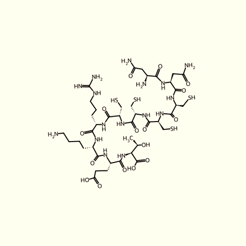 C[C@@H](O)[C@H](NC(=O)[C@H](CCC(=O)O)NC(=O)[C@H](CCCCN)NC(=O)[C@H](CCCNC(=N)N)NC(=O)[C@H](CS)NC(=O)[C@H](CS)NC(=O)[C@H](CS)NC(=O)[C@H](CS)NC(=O)[C@H](CC(N)=O)NC(=O)[C@@H](N)CC(N)=O)C(=O)O